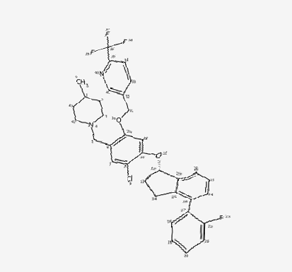 CC1CCN(Cc2cc(Cl)c(O[C@H]3CCc4c(-c5ccccc5F)cccc43)cc2OCc2ccc(C(F)(F)F)nc2)CC1